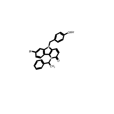 COc1ccc(Cn2c3cc(Br)ccc3c3c2ccc(=O)n3C(C)c2ccccc2)cc1